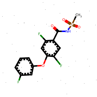 CS(=O)(=O)NC(=O)c1cc(F)c(Oc2cccc(F)c2)cc1F